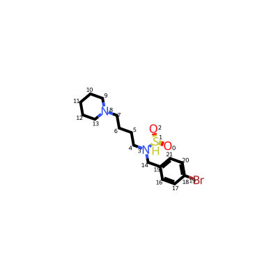 O=[SH](=O)N(CCCCN1CCCCC1)Cc1ccc(Br)cc1